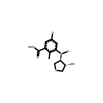 CCN(c1cc(Cl)cc(C(=O)OC)c1C)[C@@H]1COC[C@H]1O